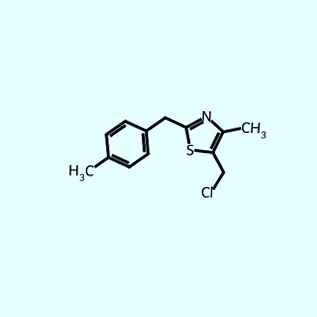 Cc1ccc(Cc2nc(C)c(CCl)s2)cc1